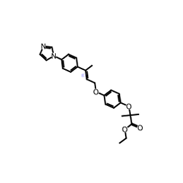 CCOC(=O)C(C)(C)Oc1ccc(OC/C=C(\C)c2ccc(-n3ccnc3)cc2)cc1